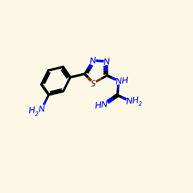 N=C(N)Nc1nnc(-c2cccc(N)c2)s1